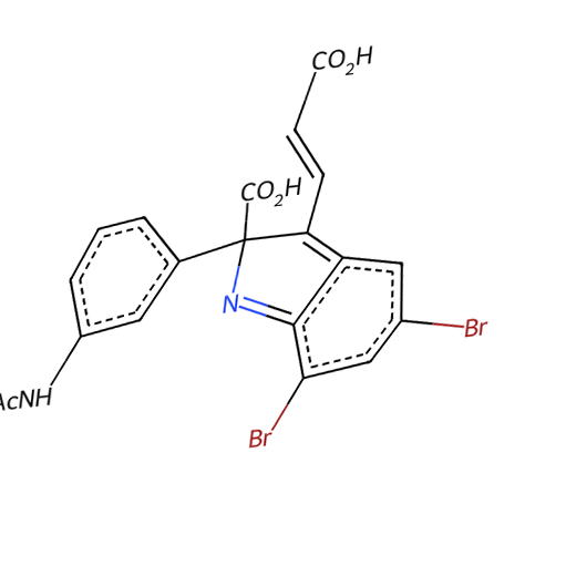 CC(=O)Nc1cccc(C2(C(=O)O)N=c3c(Br)cc(Br)cc3=C2C=CC(=O)O)c1